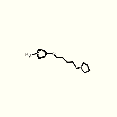 Cc1ccc(OCCCCCN2CCCC2)cc1